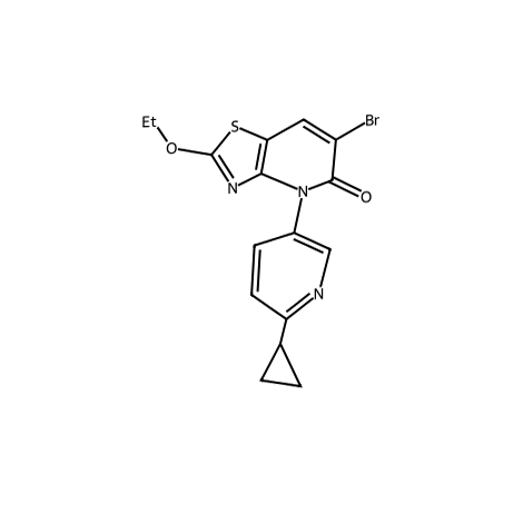 CCOc1nc2c(cc(Br)c(=O)n2-c2ccc(C3CC3)nc2)s1